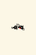 Cn1c(C#N)cnc(NCc2cc3cc(Cl)ccc3[nH]c2=O)c1=O